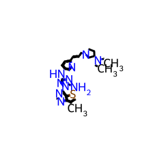 CCN(CC)C1CCN(CC=Cc2ccc(Nc3nc(N)n(-c4ncnc5c(C)csc45)n3)cn2)C1